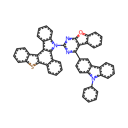 c1ccc(-n2c3ccccc3c3cc(-c4nc(-n5c6ccccc6c6c7c8ccccc8sc7c7ccccc7c65)nc5oc6ccccc6c45)ccc32)cc1